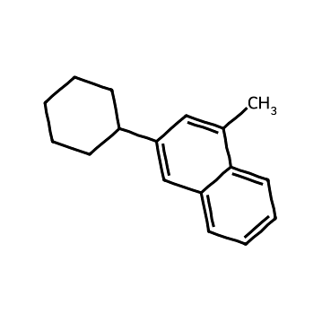 Cc1cc(C2CCCCC2)cc2ccccc12